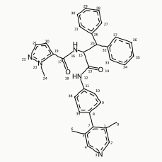 Cc1cncc(C)c1-c1ccc(NC(=O)C(NC(=O)c2ccnn2C)C(c2ccccc2)c2ccccc2)cc1